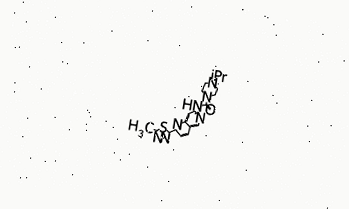 Cc1nnc(-c2ccc3cnc(NC(=O)N4CCN(C(C)C)CC4)cc3n2)s1